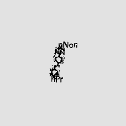 CCCCCCCCCc1cnc(C2CCC(CCC3CCC(CCC)CC3)CC2)nc1